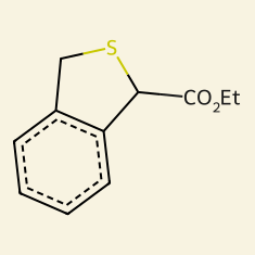 CCOC(=O)C1SCc2ccccc21